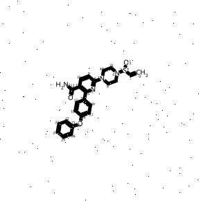 C=C[S+]([O-])N1CCN(c2ccc(C(N)=O)c(-c3ccc(Oc4ccccc4)cc3)n2)CC1